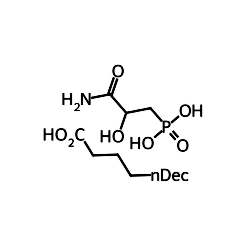 CCCCCCCCCCCCCC(=O)O.NC(=O)C(O)CP(=O)(O)O